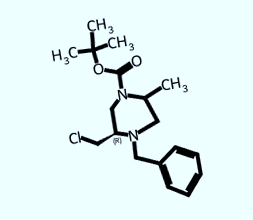 CC1CN(Cc2ccccc2)[C@@H](CCl)CN1C(=O)OC(C)(C)C